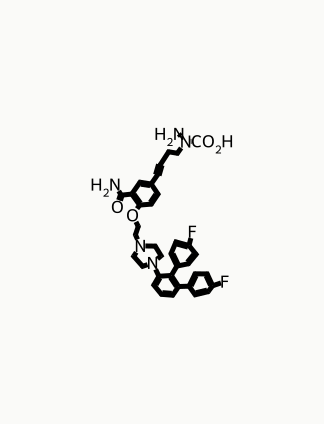 NC(=O)c1cc(C#CCCN(N)C(=O)O)ccc1OCCN1CCN(c2cccc(-c3ccc(F)cc3)c2-c2ccc(F)cc2)CC1